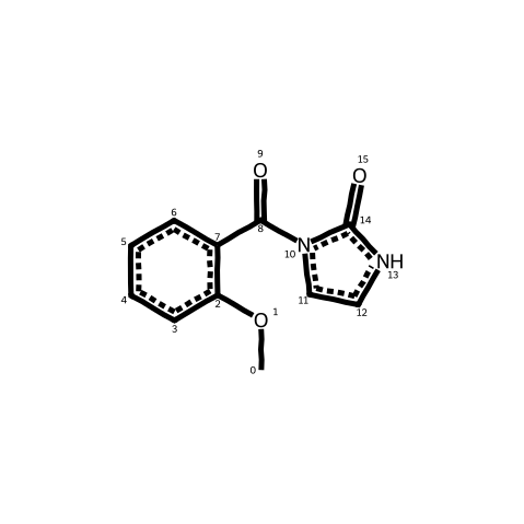 COc1ccccc1C(=O)n1cc[nH]c1=O